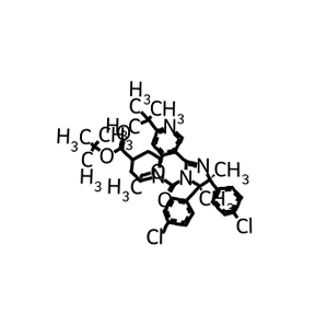 CCOc1cc(C(C)(C)C)ncc1C1=N[C@@](C)(c2ccc(Cl)cc2)[C@@](C)(c2ccc(Cl)cc2)N1C(=O)N1CCC(C(=O)OC(C)(C)C)CC1